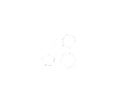 BrC[P+](c1ccccc1)(c1ccccc1)c1ccccc1.[Br-]